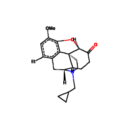 CCc1cc(OC)c2c3c1C[C@@H]1[C@@H]4CCC(=O)[C@H](O2)[C@]34CCN1CC1CC1